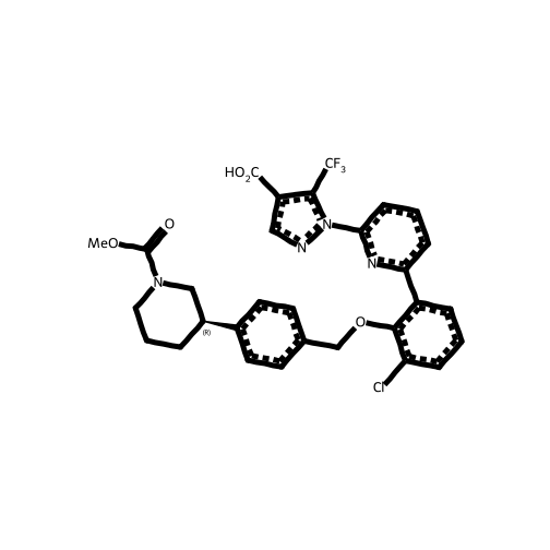 COC(=O)N1CCC[C@H](c2ccc(COc3c(Cl)cccc3-c3cccc(-n4ncc(C(=O)O)c4C(F)(F)F)n3)cc2)C1